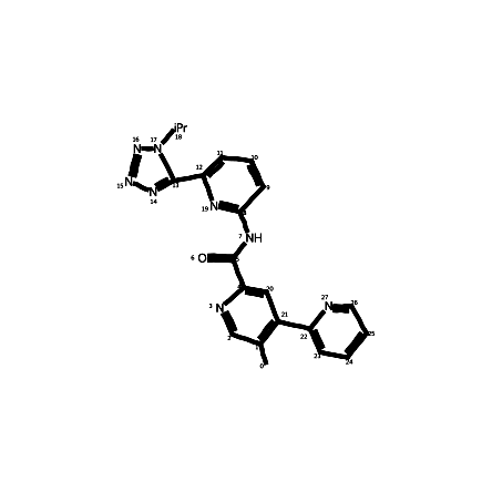 Cc1cnc(C(=O)Nc2cccc(-c3nnnn3C(C)C)n2)cc1-c1ccccn1